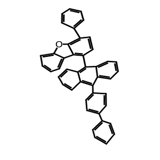 c1ccc(-c2ccc(-c3c4ccccc4c(-c4ccc(-c5ccccc5)c5oc6ccccc6c45)c4ccccc34)cc2)cc1